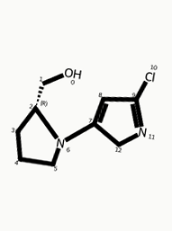 OC[C@H]1CCCN1C1=CC(Cl)=NC1